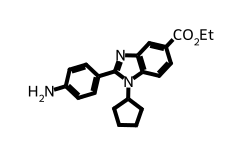 CCOC(=O)c1ccc2c(c1)nc(-c1ccc(N)cc1)n2C1CCCC1